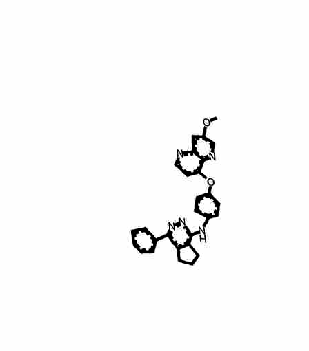 COc1cnc2c(Oc3ccc(Nc4nnc(-c5ccccc5)c5c4CCC5)cc3)ccnc2c1